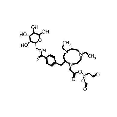 CCN1CCN(CC)CC(Cc2ccc(C(=S)NC[C@H]3OC(O)[C@H](O)[C@@H](O)[C@@H]3O)cc2)N(CC(=O)ON(CC=O)OC=O)CC1